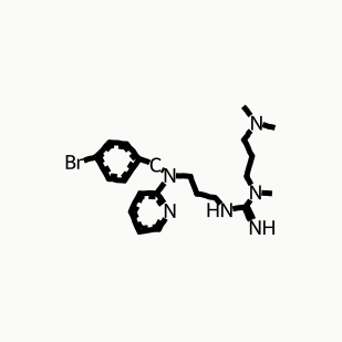 CN(C)CCCN(C)C(=N)NCCCN(Cc1ccc(Br)cc1)c1ccccn1